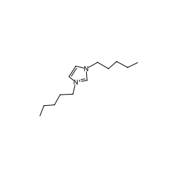 CCCCCn1cc[n+](CCCCC)c1